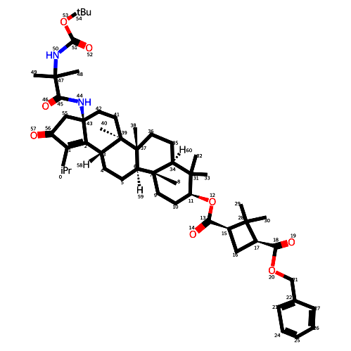 CC(C)C1=C2[C@H]3CC[C@@H]4[C@@]5(C)CC[C@H](OC(=O)[C@@H]6C[C@H](C(=O)OCc7ccccc7)C6(C)C)C(C)(C)[C@@H]5CC[C@@]4(C)[C@]3(C)CC[C@@]2(NC(=O)C(C)(C)NC(=O)OC(C)(C)C)CC1=O